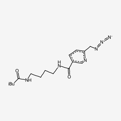 CCC(C)C(=O)NCCCCNC(=O)c1ccc(CN=[N+]=[N-])nc1